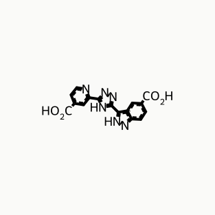 O=C(O)c1ccnc(-c2nnc(-c3[nH]nc4ccc(C(=O)O)cc34)[nH]2)c1